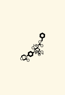 COP(=O)(C[C@H](NC(=O)OCc1ccccc1)C(=O)Nc1ccc(N2CCOCC2=O)cc1)OC